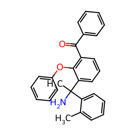 Cc1ccccc1C(C)(N)c1cccc(C(=O)c2ccccc2)c1Oc1ccccc1